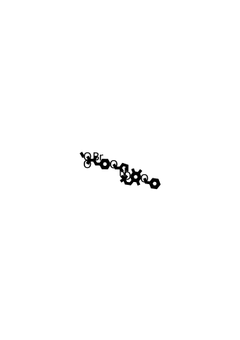 CCOC(=O)C(Br)Cc1ccc(OCC2CCCN2CC2(C)CCc3c(C)c(OCc4ccccc4)c(C)c(C)c3O2)cc1